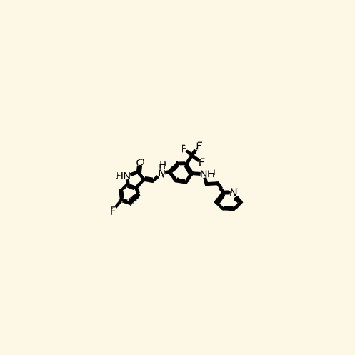 O=C1Nc2cc(F)ccc2C1=CNc1ccc(NCCc2ccccn2)c(C(F)(F)F)c1